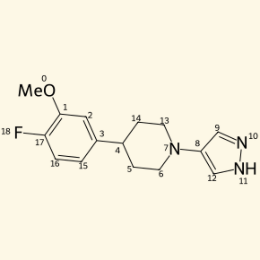 COc1cc(C2CCN(c3cn[nH]c3)CC2)ccc1F